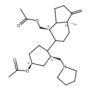 C=C1CCC2[C@H](COC(C)=O)C(C3CC[C@H](OC(C)=O)C[C@@H]3CN3CCCC3)CC[C@]12C